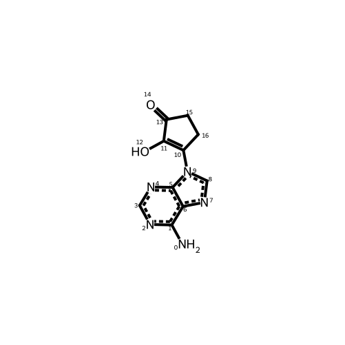 Nc1ncnc2c1ncn2C1=C(O)C(=O)CC1